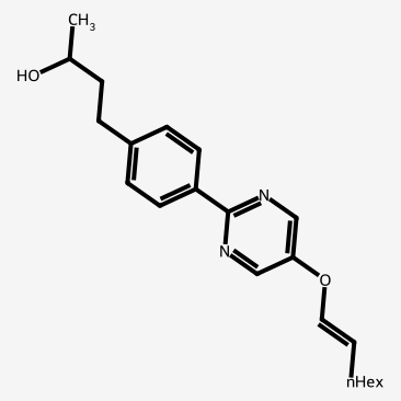 CCCCCCC=COc1cnc(-c2ccc(CCC(C)O)cc2)nc1